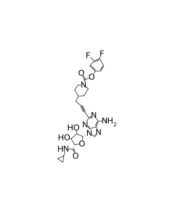 Nc1nc(C#CCC2CCN(C(=O)Oc3ccc(F)c(F)c3)CC2)nc2c1ncn2[C@@H]1O[C@H](C(=O)NC2CC2)C(O)C1O